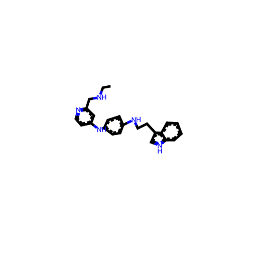 CCNCc1cc(Nc2ccc(NCCc3c[nH]c4ccccc34)cc2)ccn1